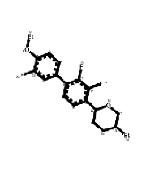 CCOc1ccc(-c2ccc(C3CCC(CC)CO3)c(F)c2F)cc1F